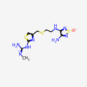 C/N=C(/N)Nc1nc(CSCCNc2n[s+]([O-])nc2N)cs1